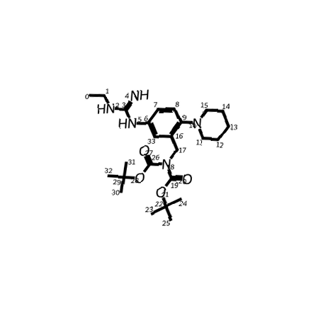 CCNC(=N)Nc1ccc(N2CCCCC2)c(CN(C(=O)OC(C)(C)C)C(=O)OC(C)(C)C)c1